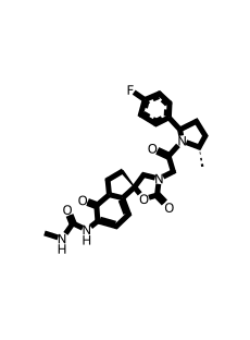 CNC(=O)NC1=CC=C2C(CC[C@]23CN(CC(=O)N2C(c4ccc(F)cc4)CC[C@@H]2C)C(=O)O3)C1=O